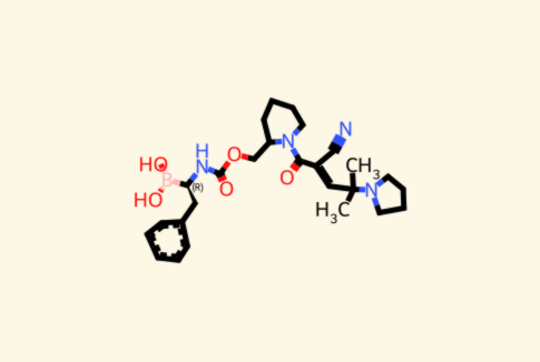 CC(C)(C=C(C#N)C(=O)N1CCCCC1COC(=O)N[C@@H](Cc1ccccc1)B(O)O)N1CCCC1